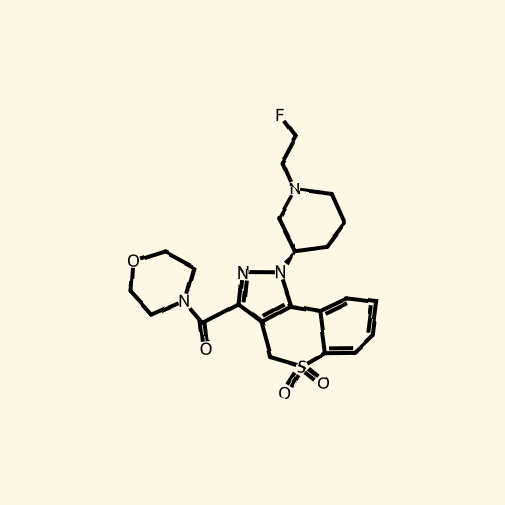 O=C(c1nn([C@@H]2CCCN(CCF)C2)c2c1CS(=O)(=O)c1ccccc1-2)N1CCOCC1